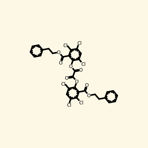 O=C(Oc1c(Cl)cc(Cl)c(Cl)c1C(=O)OCCc1ccccc1)C(=O)Oc1c(Cl)cc(Cl)c(Cl)c1C(=O)OCCc1ccccc1